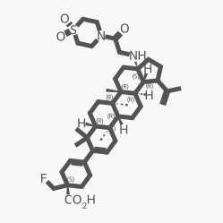 C=C(C)C1CC[C@]2(NCC(=O)N3CCS(=O)(=O)CC3)CC[C@]3(C)[C@H](CC[C@@H]4[C@@]5(C)CC=C(C6=CC[C@](CF)(C(=O)O)CC6)C(C)(C)[C@@H]5CC[C@]43C)[C@@H]12